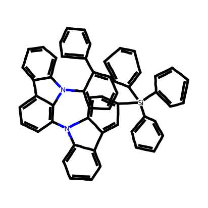 c1ccc(-c2ccccc2-n2c3ccccc3c3cccc(-n4c5ccccc5c5cc([Si](c6ccccc6)(c6ccccc6)c6ccccc6)ccc54)c32)cc1